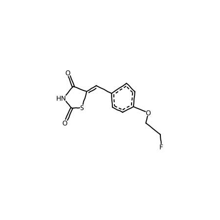 O=C1NC(=O)/C(=C/c2ccc(OCCF)cc2)S1